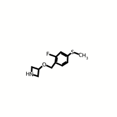 CSc1ccc(COC2CNC2)c(F)c1